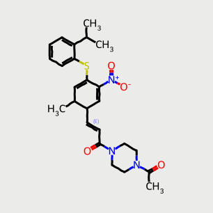 CC(=O)N1CCN(C(=O)/C=C/C2C=C([N+](=O)[O-])C(Sc3ccccc3C(C)C)=CC2C)CC1